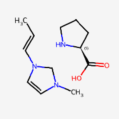 CC=CN1C=CN(C)C1.O=C(O)[C@@H]1CCCN1